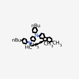 C#CC#CC#CC1(C)c2cc(C)ccc2-c2ccc(N(c3ccc(CCCC)cc3)c3ccc(N(C)c4ccc(CCCC)cc4)cc3)cc21